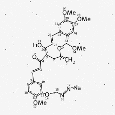 C=C(C/C(C(=O)/C=C/c1ccc(OC)c(OCN=[N+]=[N-])c1)=C(O)\C=C\c1ccc(OC)c(OC)c1)OCOC